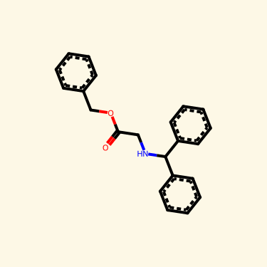 O=C(CNC(c1ccccc1)c1ccccc1)OCc1ccccc1